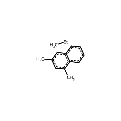 CCC.Cc1cc(C)c2ccccc2c1